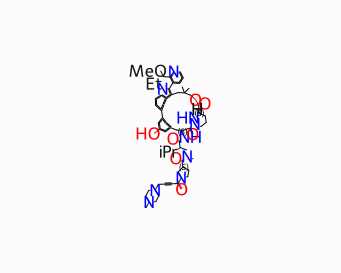 CCn1c(-c2cccnc2COC)c2c3cc(ccc31)-c1cc(O)cc(c1)C[C@H](NC(=O)C(CN(C)C(=O)[C@H]1CCN(C(=O)C#CCN3CCN(C)CC3)C1)C(C)C)C(=O)N1CCC[C@H](N1)C(=O)OCC(C)(C)C2